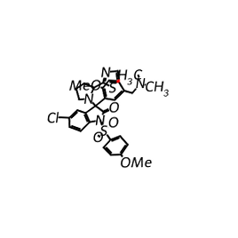 COc1ccc(S(=O)(=O)N2C(=O)C(c3cc(CN(C)C)ccc3OC)(N3CCCC3c3nccs3)c3cc(Cl)ccc32)cc1